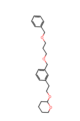 c1ccc(COCCCOCc2cccc(CCOC3CCCCO3)c2)cc1